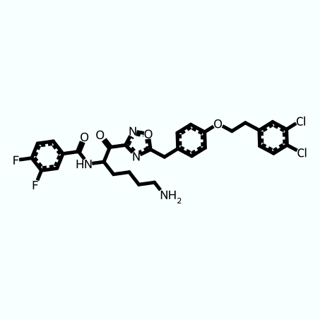 NCCCCC(NC(=O)c1ccc(F)c(F)c1)C(=O)c1noc(Cc2ccc(OCCc3ccc(Cl)c(Cl)c3)cc2)n1